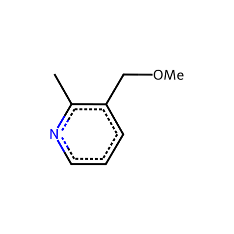 COCc1cccnc1C